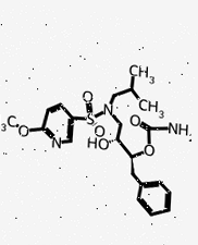 COc1ccc(S(=O)(=O)N(CC(C)C)C[C@@H](O)[C@H](Cc2ccccc2)OC(N)=O)cn1